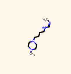 C/N=C\NCCCCN1CCN(C)CC1